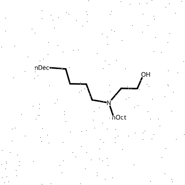 CCCCCCCCCCCCCCN(CCO)CCCCCCCC